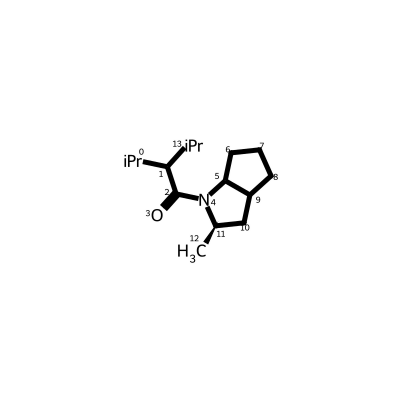 CC(C)C(C(=O)N1C2CCCC2C[C@H]1C)C(C)C